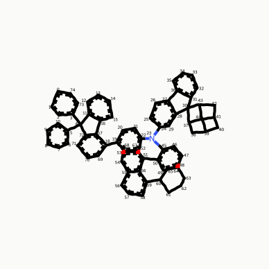 c1ccc(C2(c3ccccc3)c3ccccc3-c3c(-c4ccc(N(c5ccc6c(c5)C5(c7ccccc7-6)C6CC7CC8CC5C786)c5ccccc5-c5cccc6cccc(C7CCCCC7)c56)cc4)cccc32)cc1